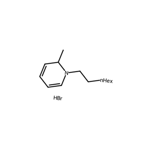 Br.CCCCCCCCN1C=CC=CC1C